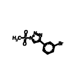 CS(=O)(=O)n1cc(-c2cccc(Br)c2)nn1